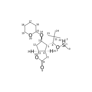 C[SiH](C)OC([C@@H]1[C@H]2CC(=O)O[C@H]2C[C@H]1OC1CCCCO1)C(C)(C)C